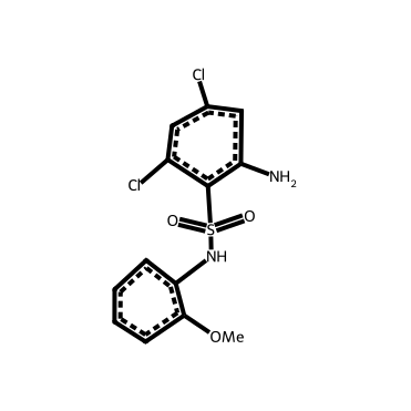 COc1ccccc1NS(=O)(=O)c1c(N)cc(Cl)cc1Cl